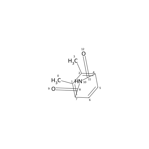 Cc1c(C)c2ccc1c(=O)[nH]c2=O